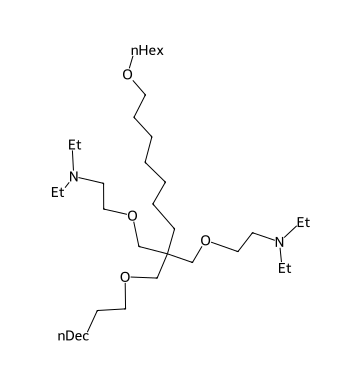 CCCCCCCCCCCCOCC(CCCCCCCOCCCCCC)(COCCN(CC)CC)COCCN(CC)CC